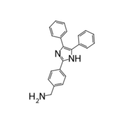 NCc1ccc(-c2nc(-c3ccccc3)c(-c3ccccc3)[nH]2)cc1